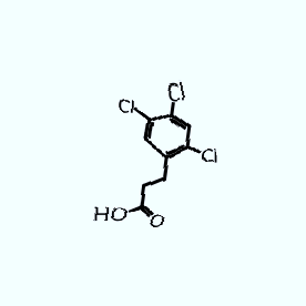 O=C(O)CCc1cc(Cl)c(Cl)cc1Cl